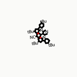 CC(C)(C)c1ccc2c(c1)c1cc(C(C)(C)C)ccc1n2-c1cncc(-n2c3ccc(C(C)(C)C)cc3c3cc(C(C)(C)C)ccc32)c1-c1ccc(C#N)cc1